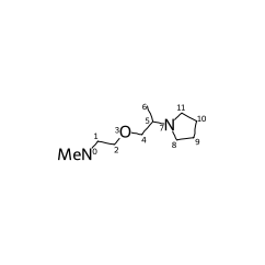 CNCCOCC(C)N1CCCC1